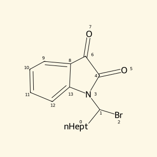 CCCCCCCC(Br)N1C(=O)C(=O)c2ccccc21